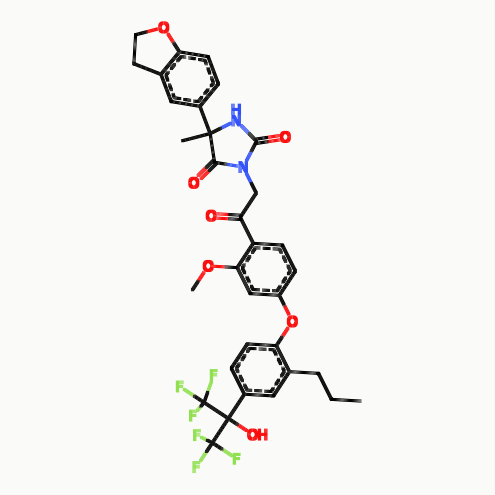 CCCc1cc(C(O)(C(F)(F)F)C(F)(F)F)ccc1Oc1ccc(C(=O)CN2C(=O)NC(C)(c3ccc4c(c3)CCO4)C2=O)c(OC)c1